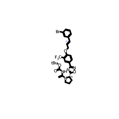 C=C(NC(=O)OC(C)(C)C)N1CCC[C@H]1c1nc(-c2ccc(OC/C=C/c3cccc(Br)c3)c(C(F)(F)F)c2)no1